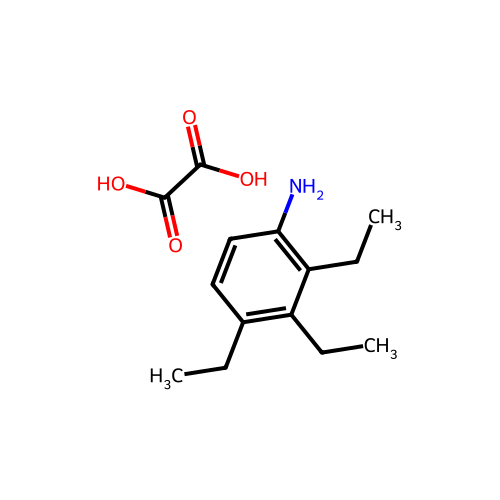 CCc1ccc(N)c(CC)c1CC.O=C(O)C(=O)O